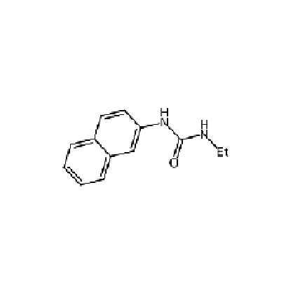 CCNC(=O)Nc1ccc2ccccc2c1